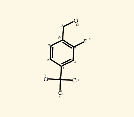 Fc1cc(C(Cl)(Cl)Cl)ccc1CCl